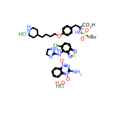 CCCCS(=O)(=O)N[C@@H](Cc1ccc(OCCCCC2CCNCC2)cc1)C(=O)O.Cl.Cl.Clc1ccc2nsnc2c1NC1=NCCN1.Nc1n[n+]([O-])c2ccccc2[n+]1[O-].O